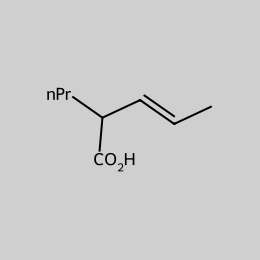 CC=CC(CCC)C(=O)O